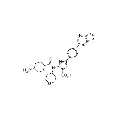 CC1CCC(C(=O)N(c2nn(-c3ccc(-c4cnc5ccoc5c4)cc3)cc2C(=O)O)C2CCOCC2)CC1